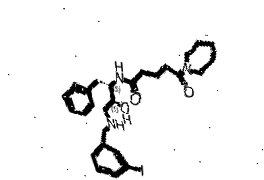 O=C(CCCC(=O)N1CCCCC1)N[C@@H](Cc1ccccc1)[C@@H](O)CNCc1cccc(I)c1